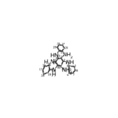 Nc1c(Nc2ccccc2)c(N)c(Nc2ccccc2)c(N)c1Nc1ccccc1